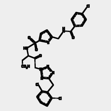 O=C(O)CC(NS(=O)(=O)c1ccc(CNC(=O)c2ccc(Cl)cc2)s1)C(=O)Cn1nnc(Cc2c(Cl)cccc2Cl)n1